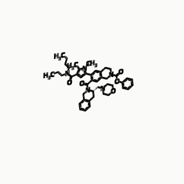 CCCCN(CCC)C(=O)c1cc(-c2cc3c(cc2C(=O)N2Cc4ccccc4C[C@H]2CN2CCOCC2)CN(C(=O)Oc2ccccc2)CC3)n(C)c1C